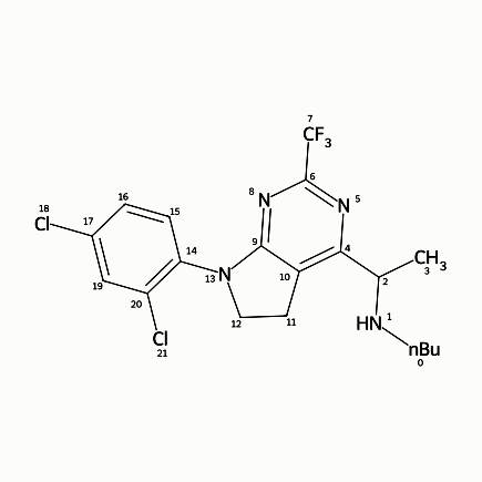 CCCCNC(C)c1nc(C(F)(F)F)nc2c1CCN2c1ccc(Cl)cc1Cl